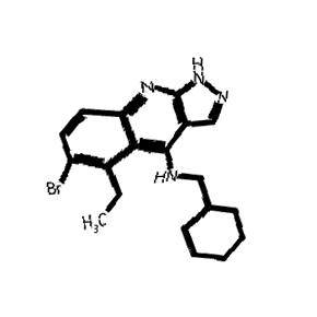 CCc1c(Br)ccc2nc3[nH]ncc3c(NCC3CCCCC3)c12